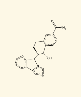 NC(=O)c1ccc2c(c1)CC[C@H]([C@H]1c3ccccc3-c3cncn31)[C@H]2O